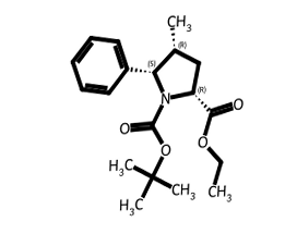 CCOC(=O)[C@H]1C[C@@H](C)[C@@H](c2ccccc2)N1C(=O)OC(C)(C)C